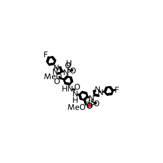 COC(=O)c1cc(NC(=O)Nc2ccc(N(c3cnn(-c4ccc(F)cc4)c3)[SH](=O)=O)c(C(=O)OC)c2)ccc1N(c1cnn(-c2ccc(F)cc2)c1)[SH](=O)=O